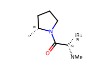 CC[C@@H](C)[C@H](NC)C(=O)N1CCC[C@H]1C